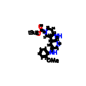 COc1ccccc1Nc1cnc2[nH]c3c(c2c1)CN(C(=O)OC(C)(C)C)CC3